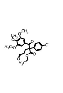 CCOC(=O)C(CCC=O)(C(=O)c1cc(OC)c(OC)c(OC)c1)c1ccc(Cl)cc1